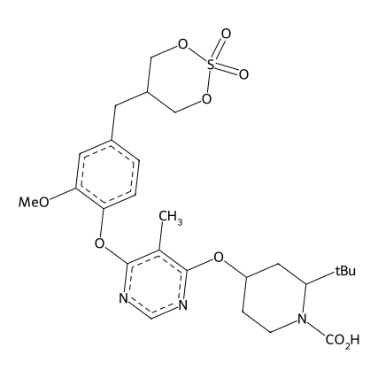 COc1cc(CC2COS(=O)(=O)OC2)ccc1Oc1ncnc(OC2CCN(C(=O)O)C(C(C)(C)C)C2)c1C